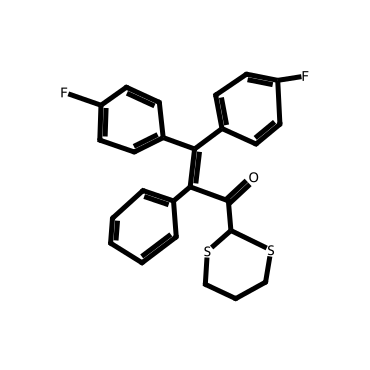 O=C(C(=C(c1ccc(F)cc1)c1ccc(F)cc1)c1ccccc1)C1SCCCS1